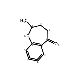 CC1CCC(=O)C2=C(C=C=C=C2)O1